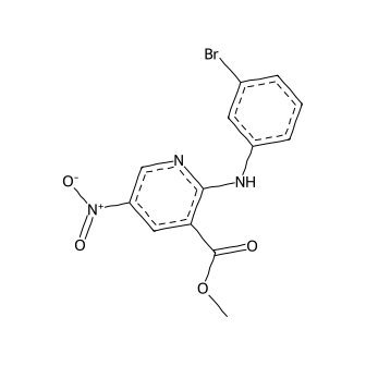 COC(=O)c1cc([N+](=O)[O-])cnc1Nc1cccc(Br)c1